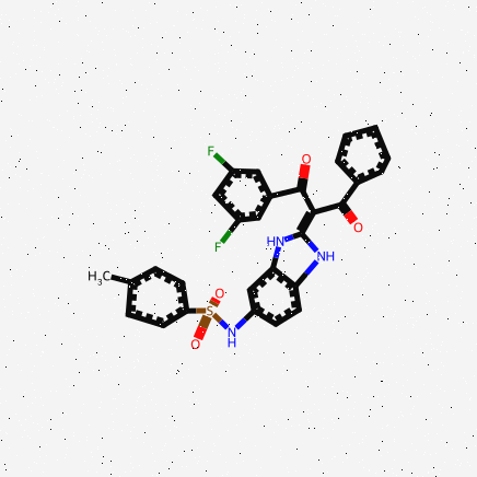 Cc1ccc(S(=O)(=O)Nc2ccc3c(c2)NC(=C(C(=O)c2ccccc2)C(=O)c2cc(F)cc(F)c2)N3)cc1